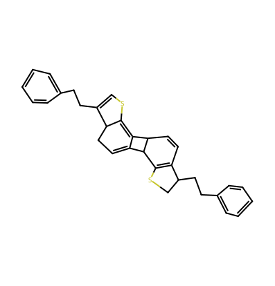 C1=CC2C3=C4SC=C(CCc5ccccc5)C4CC=C3C2C2=C1C(CCc1ccccc1)CS2